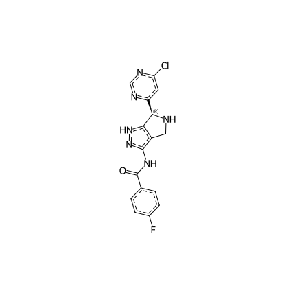 O=C(Nc1n[nH]c2c1CN[C@@H]2c1cc(Cl)ncn1)c1ccc(F)cc1